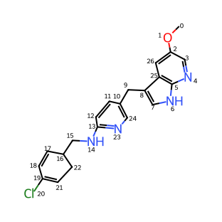 COc1cnc2[nH]cc(Cc3ccc(NCC4C=CC(Cl)=CC4)nc3)c2c1